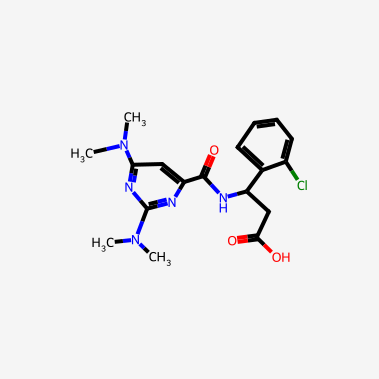 CN(C)c1cc(C(=O)NC(CC(=O)O)c2ccccc2Cl)nc(N(C)C)n1